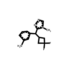 Cn1cnnc1C(c1cccc(N)c1)C1CC(F)(F)C1